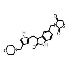 O=C1Nc2ccc(CN3C(=O)CSC3=O)cc2C1Cc1cc(CN2CCOCC2)c[nH]1